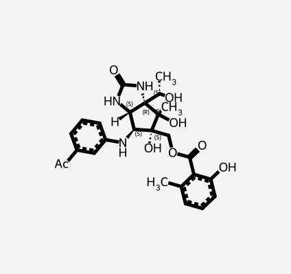 CC(=O)c1cccc(N[C@H]2[C@@H]3NC(=O)N[C@]3([C@H](C)O)[C@@](C)(O)[C@@]2(O)COC(=O)c2c(C)cccc2O)c1